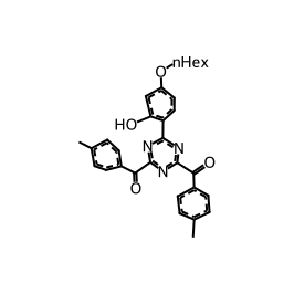 CCCCCCOc1ccc(-c2nc(C(=O)c3ccc(C)cc3)nc(C(=O)c3ccc(C)cc3)n2)c(O)c1